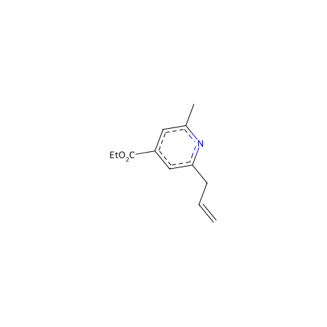 C=CCc1cc(C(=O)OCC)cc(C)n1